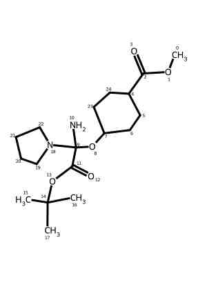 COC(=O)C1CCC(OC(N)(C(=O)OC(C)(C)C)N2CCCC2)CC1